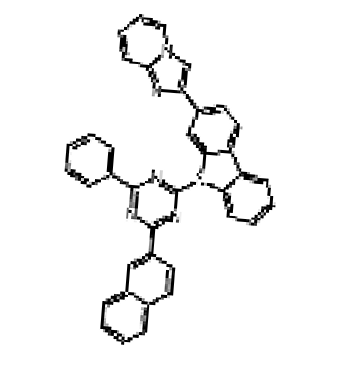 c1ccc(-c2nc(-c3ccc4ccccc4c3)nc(-n3c4ccccc4c4ccc(-c5cn6ccccc6n5)cc43)n2)cc1